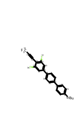 CCCCc1ccc(-c2ccc(-c3cc(F)c(C#CC(F)(F)F)c(F)c3)cc2)cc1